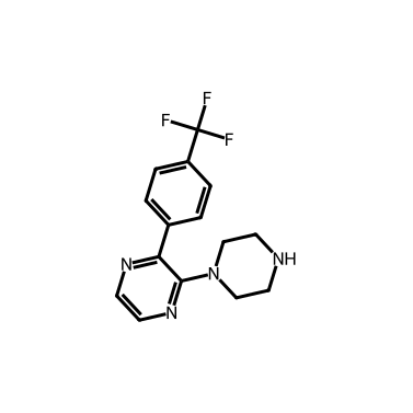 FC(F)(F)c1ccc(-c2nccnc2N2CCNCC2)cc1